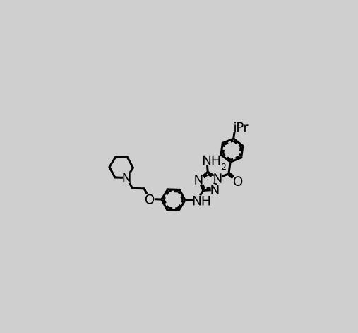 CC(C)c1ccc(C(=O)n2nc(Nc3ccc(OCCN4CCCCC4)cc3)nc2N)cc1